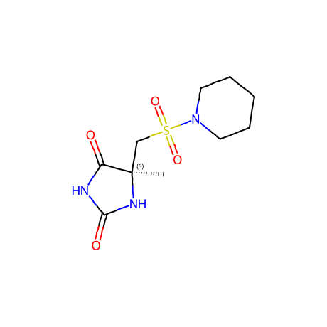 C[C@]1(CS(=O)(=O)N2CCCCC2)NC(=O)NC1=O